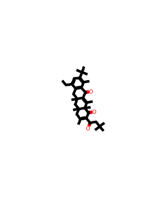 CCc1cc(C(C)(C)C)c(C)c2c1CC1(C)CC3(C)CC(C)=C(C(=O)CC(C)(C)C)C(=O)C3(C)C(C)=C1C2=O